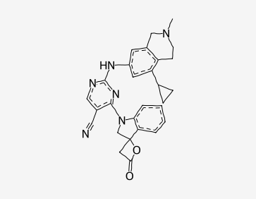 CN1CCc2c(cc(Nc3ncc(C#N)c(N4CC5(CC(=O)O5)c5ccccc54)n3)cc2C2CC2)C1